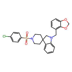 O=S(=O)(c1ccc(Cl)cc1)N1CCC2(CC1)CN(Cc1cccc3c1OCO3)c1ccccc12